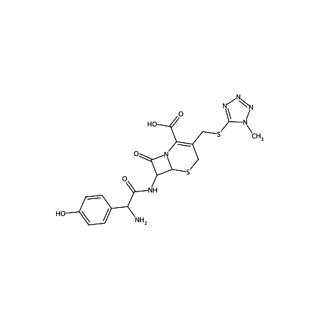 Cn1nnnc1SCC1=C(C(=O)O)N2C(=O)C(NC(=O)C(N)c3ccc(O)cc3)C2SC1